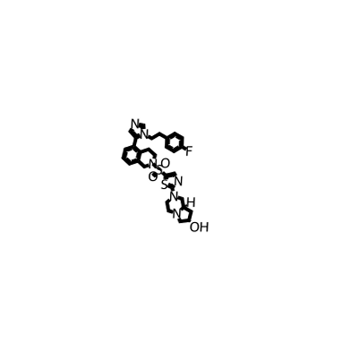 O=S(=O)(c1cnc(N2CCN3C[C@H](O)C[C@H]3C2)s1)N1CCc2c(cccc2-c2cncn2CCc2ccc(F)cc2)C1